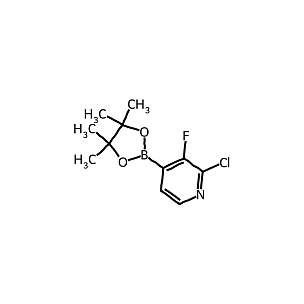 CC1(C)OB(c2ccnc(Cl)c2F)OC1(C)C